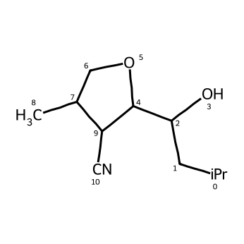 CC(C)CC(O)C1OCC(C)C1C#N